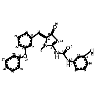 CN1C(NC(=O)Nc2cccc(Cl)c2)=NC(=O)/C1=C/c1cccc(Oc2ccccc2)c1